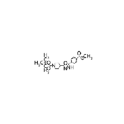 COC(=O)c1ccc(C2NN=C(C3CCN(C(=O)OC(C)(C)C)CC3)O2)cc1